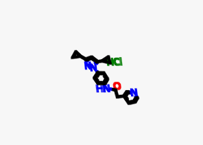 Cl.O=C(Cc1cccnc1)Nc1ccc(-n2nc(C3CC3)cc2C2CC2)cc1